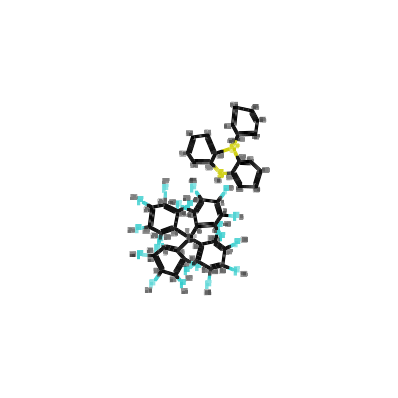 Fc1c(F)c(F)c([B-](c2c(F)c(F)c(F)c(F)c2F)(c2c(F)c(F)c(F)c(F)c2F)c2c(F)c(F)c(F)c(F)c2F)c(F)c1F.c1ccc([S+]2c3ccccc3Sc3ccccc32)cc1